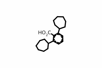 O=C(O)c1c(C2CCCCCC2)cccc1C1CCCCCC1